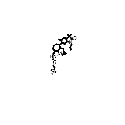 C=CCN1C(=O)C(C)(C)c2cc(C)c(C3=C(CC4CC4)C(=N)/C(=C\NCOCC[Si](C)(C)C)CCC3)cc21